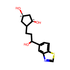 OC(CCC1C[C@@H](O)C[C@H]1O)c1ccc2scnc2c1